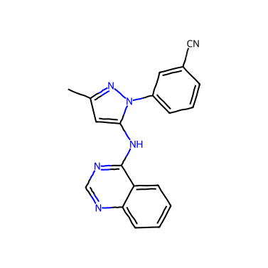 Cc1cc(Nc2ncnc3ccccc23)n(-c2cccc(C#N)c2)n1